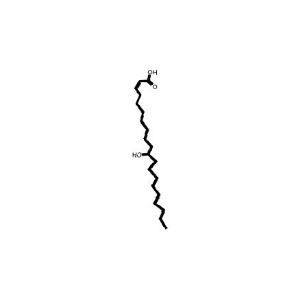 CCCCCCCCCC(O)CCCCCCC/C=C\C(=O)O